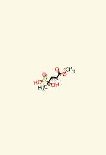 COC(=O)/C=C/C(C)(O)S(=O)O